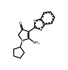 NC1=C(c2nc3ccccc3s2)C(=O)CN1C1CCCC1